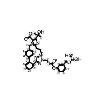 CCCc1nc(C(C)(C)O)c(C(=O)O)n1Cc1ccc(-c2ccccc2-c2nnn(COC(=O)Oc3cccc(CON(O)O)c3)n2)cc1